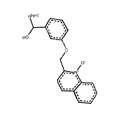 CCCCCC(O)c1cccc(OCc2ccc3ccccc3[n+]2[O-])c1